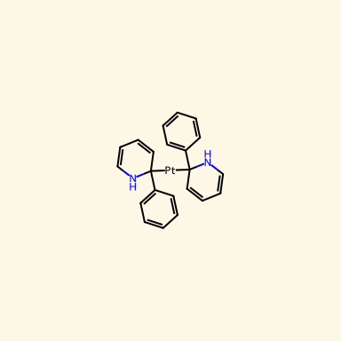 C1=CN[C]([Pt][C]2(c3ccccc3)C=CC=CN2)(c2ccccc2)C=C1